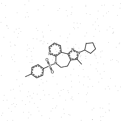 Cc1ccc(S(=O)(=O)N2CCc3c(nn(C4CCCC4)c3C)-c3cccnc32)cc1